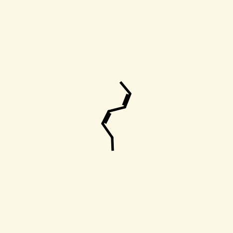 C/C=C\C=C/CC